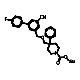 CC(C)(C)OC(=O)N1CCC(COCc2cc(C#N)cc(-c3ccc(F)cc3)c2)(c2ccccc2)CC1